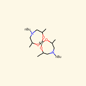 CCCCN1CC(C)[O][Sn]2([O]C(C)C1)[O]C(C)CN(CCCC)CC(C)[O]2